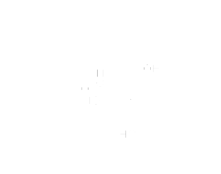 C=CCOCC=C.OCC(CO)(CO)CO